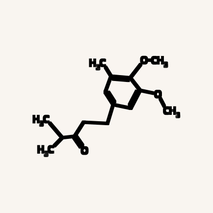 COc1cc(CCC(=O)C(C)C)cc(C)c1OC